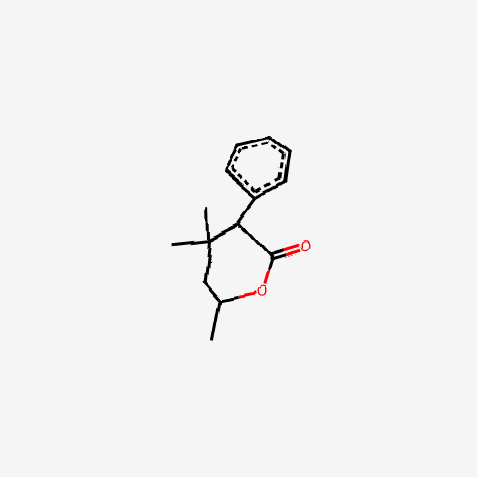 CC1CC(C)(C)C(c2ccccc2)C(=O)O1